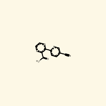 CC(=O)c1nccnc1-c1ccc(C#N)cn1